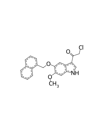 COc1cc2[nH]cc(C(=O)CCl)c2cc1OCc1cccc2ccccc12